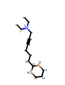 CCN(CC)CC#CCCCC1SCCCS1